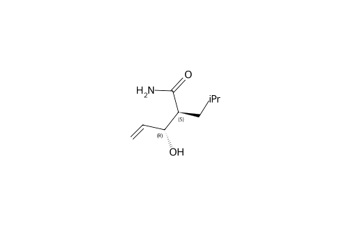 C=C[C@@H](O)[C@H](CC(C)C)C(N)=O